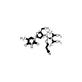 CC[C@@H]1O[C@@H](n2cc(C)c(=O)[nH]c2=O)C[C@@H]1OP(OCCC#N)N(C(C)C)C(C)C